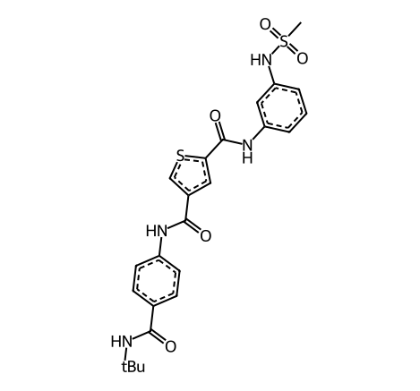 CC(C)(C)NC(=O)c1ccc(NC(=O)c2csc(C(=O)Nc3cccc(NS(C)(=O)=O)c3)c2)cc1